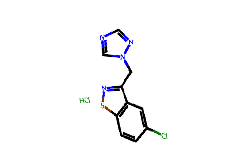 Cl.Clc1ccc2snc(Cn3cncn3)c2c1